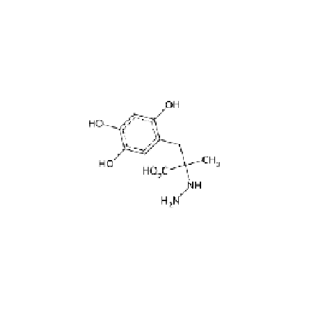 CC(Cc1cc(O)c(O)cc1O)(NN)C(=O)O